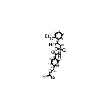 CCOc1ccccc1C(O)CS(=O)(=O)NC(=O)c1ccc(COC(=O)CC)nc1